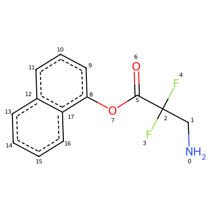 NCC(F)(F)C(=O)Oc1cccc2ccccc12